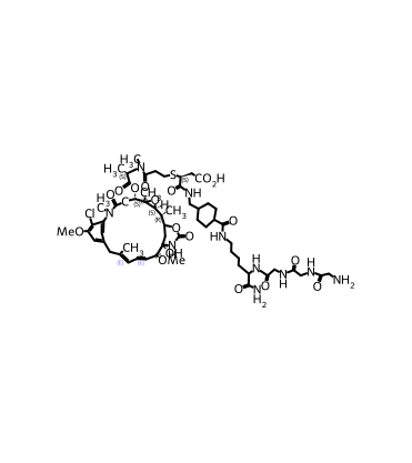 COc1cc2cc(c1Cl)N(C)C(=O)C[C@H](OC(=O)[C@H](C)N(C)C(=O)CCS[C@@H](CC(=O)O)C(=O)NCC1CCC(C(=O)NCCCCC(NC(=O)CNC(=O)CNC(=O)CN)C(N)=O)CC1)[C@]1(C)O[C@H]1[C@H](C)C1C[C@@](O)(NC(=O)O1)[C@H](OC)/C=C/C=C(\C)C2